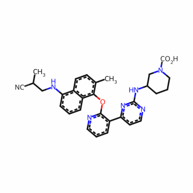 Cc1ccc2c(NCC(C)C#N)cccc2c1Oc1ncccc1-c1ccnc(NC2CCCN(C(=O)O)C2)n1